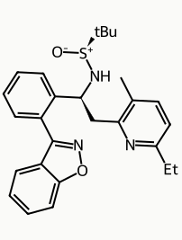 CCc1ccc(C)c(C[C@H](N[S@@+]([O-])C(C)(C)C)c2ccccc2-c2noc3ccccc23)n1